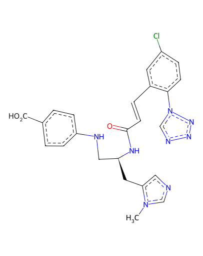 Cn1cncc1C[C@@H](CNc1ccc(C(=O)O)cc1)NC(=O)/C=C/c1cc(Cl)ccc1-n1cnnn1